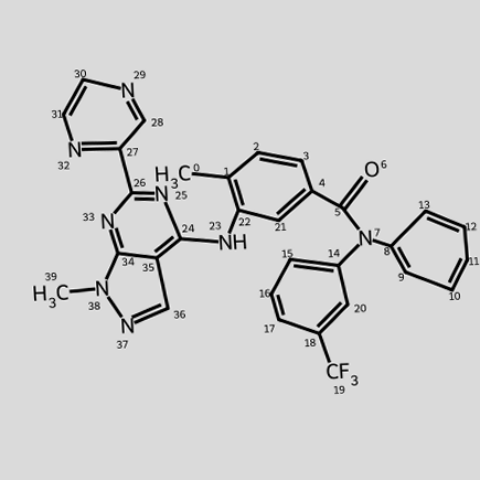 Cc1ccc(C(=O)N(c2ccccc2)c2cccc(C(F)(F)F)c2)cc1Nc1nc(-c2cnccn2)nc2c1cnn2C